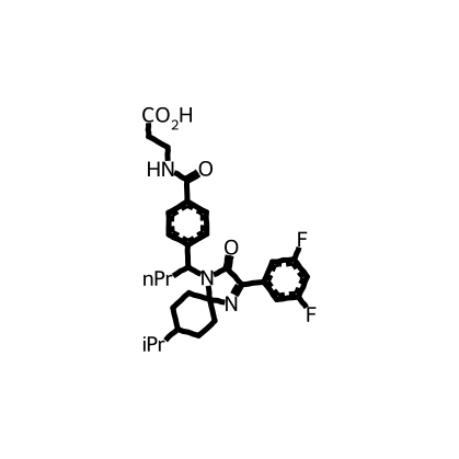 CCCC(c1ccc(C(=O)NCCC(=O)O)cc1)N1C(=O)C(c2cc(F)cc(F)c2)=NC12CCC(C(C)C)CC2